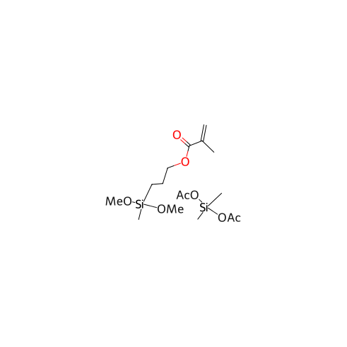 C=C(C)C(=O)OCCC[Si](C)(OC)OC.CC(=O)O[Si](C)(C)OC(C)=O